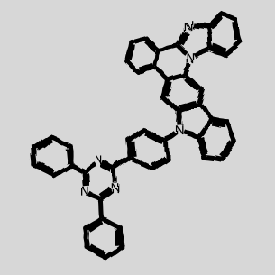 c1ccc(-c2nc(-c3ccccc3)nc(-c3ccc(-n4c5ccccc5c5cc6c(cc54)c4ccccc4c4nc5ccccc5n64)cc3)n2)cc1